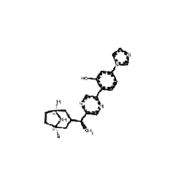 C=C(c1cnc(-c2ccc(-n3ccnc3)cc2O)cn1)C1C[C@H]2CC[C@@H](C1)N2